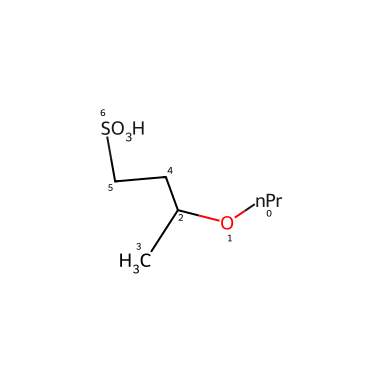 CCCOC(C)CCS(=O)(=O)O